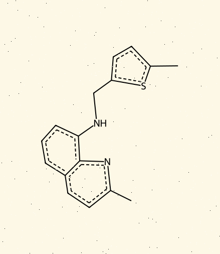 Cc1ccc2cccc(NCc3ccc(C)s3)c2n1